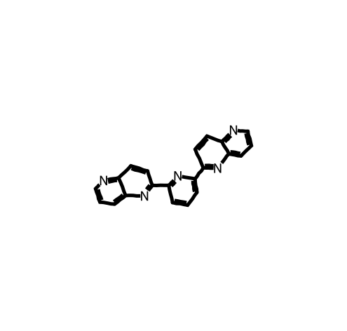 c1cc(-c2ccc3ncccc3n2)nc(-c2ccc3ncccc3n2)c1